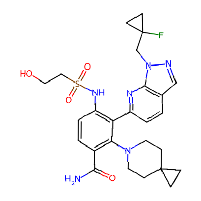 NC(=O)c1ccc(NS(=O)(=O)CCO)c(-c2ccc3cnn(CC4(F)CC4)c3n2)c1N1CCC2(CC1)CC2